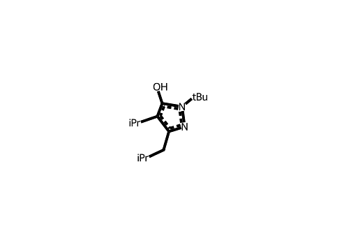 CC(C)Cc1nn(C(C)(C)C)c(O)c1C(C)C